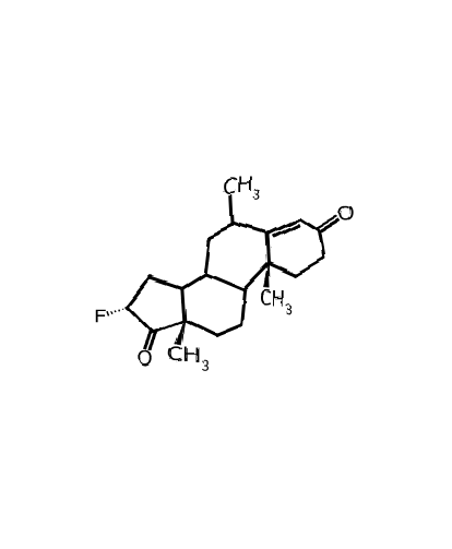 CC1CC2C(CC[C@]3(C)C(=O)[C@H](F)CC23)[C@@]2(C)CCC(=O)C=C12